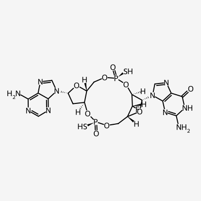 Nc1nc2c(ncn2[C@@H]2O[C@@H]3CO[P@@](=O)(S)O[C@H]4C[C@H](n5cnc6c(N)ncnc65)O[C@@H]4CO[P@@](=O)(S)O[C@@H]2[C@@H]3F)c(=O)[nH]1